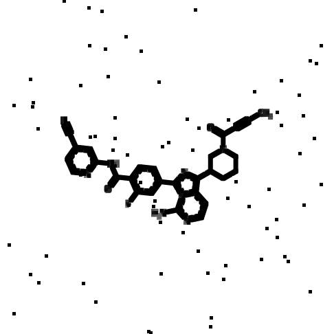 CC#CC(=O)N1CCCC(c2nc(-c3ccc(C(=O)Nc4cc(C#N)ccn4)c(F)c3)n3c(N)nccc23)C1